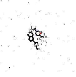 C=C(/C=C\C(=C/C)C(=C)Nc1cc2cc(-c3cnc(N)s3)ccc2cn1)C(=C)NC